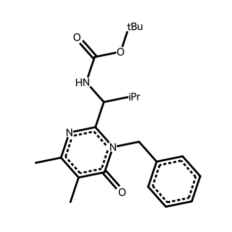 Cc1nc(C(NC(=O)OC(C)(C)C)C(C)C)n(Cc2ccccc2)c(=O)c1C